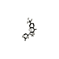 Cc1nccc(-n2cc(C(C)c3ccc(C(F)(F)F)cc3Cl)nn2)n1